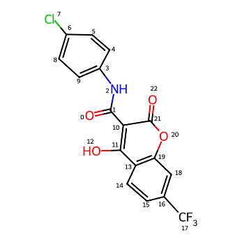 O=C(Nc1ccc(Cl)cc1)c1c(O)c2ccc(C(F)(F)F)cc2oc1=O